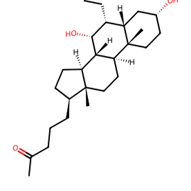 CC[C@H]1[C@@H](O)[C@@H]2[C@H](CC[C@]3(C)[C@@H](CCCC(C)=O)CC[C@@H]23)[C@@]2(C)CC[C@@H](O)C[C@@H]12